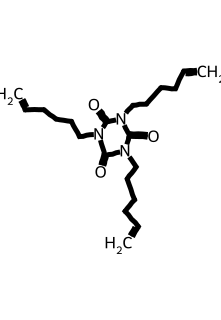 C=CCCCCn1c(=O)n(CCCCC=C)c(=O)n(CCCCC=C)c1=O